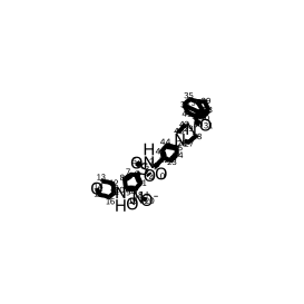 O=C(NS(=O)(=O)c1ccc(NC2CCOCC2)c([N+](=O)[O-])c1)c1ccc(N2CCN(C(=O)C34CC5CC(CC(C5)C3)C4)CC2)cc1